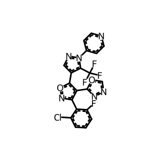 Fc1cccc(Cl)c1-c1noc(-c2cnn(-c3ccncc3)c2C(F)(F)F)c1-c1nnco1